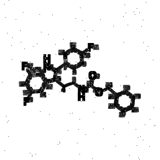 O=C(NCCc1c(-c2ccc(F)cc2)[nH]c2c(F)cc(F)cc12)OCc1ccccc1